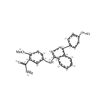 CCOc1ccc(-c2nnc(Nc3ccc(OC)c(C(=O)NC)c3)c3ccccc23)cc1